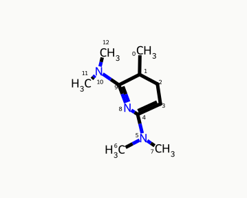 CC1CC=C(N(C)C)N=C1N(C)C